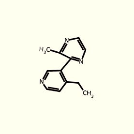 CCc1ccncc1-c1nccnc1C